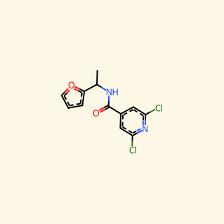 CC(NC(=O)c1cc(Cl)nc(Cl)c1)c1ccco1